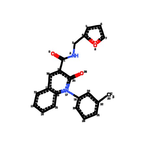 O=C(NCc1ccco1)c1cc2ccccc2n(-c2cccc(C(F)(F)F)c2)c1=O